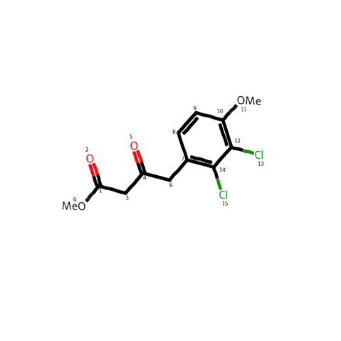 COC(=O)CC(=O)Cc1ccc(OC)c(Cl)c1Cl